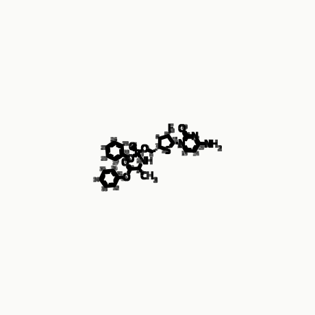 C[C@H](NP(=O)(OC[C@@H]1C[C@H](F)[C@H](n2ccc(N)nc2=O)S1)Oc1ccccc1)C(=O)Oc1ccccc1